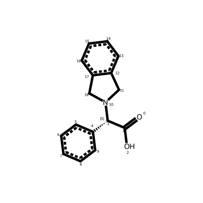 O=C(O)[C@H](c1ccccc1)N1Cc2ccccc2C1